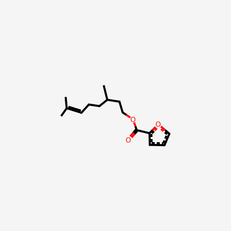 CC(C)=CCCC(C)CCOC(=O)c1ccco1